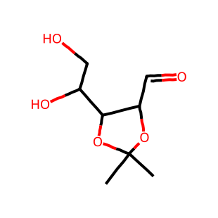 CC1(C)OC(C=O)C(C(O)CO)O1